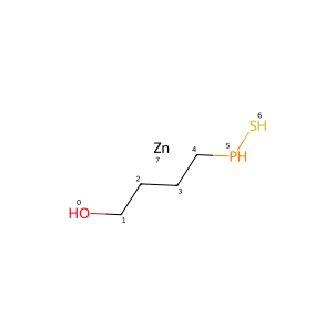 OCCCCPS.[Zn]